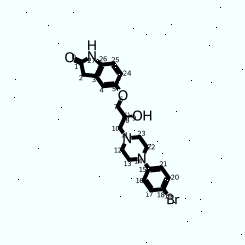 O=C1Cc2cc(OC[C@@H](O)CN3CCN(c4ccc(Br)cc4)CC3)ccc2N1